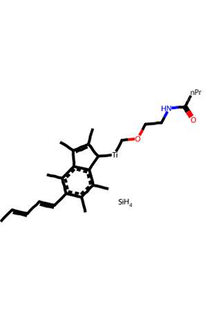 CC=CC=Cc1c(C)c(C)c2c(c1C)C(C)=C(C)[CH]2[Ti][CH2]OCCNC(=O)CCC.[SiH4]